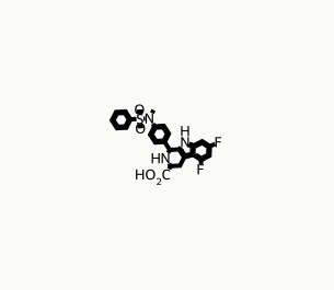 CN(c1ccc(C2NC(C(=O)O)Cc3c2[nH]c2cc(F)cc(F)c32)cc1)S(=O)(=O)c1ccccc1